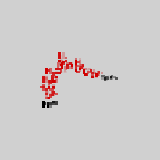 O.O.O.O.O.O.[Fe+3].[Fe+3].[O-2].[O-2].[O-2]